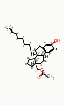 C=CCCCCCC[C@@H]1Cc2cc(O)ccc2[C@H]2CC[C@]3(COC(C)=O)CCC[C@H]3[C@H]12